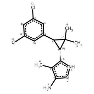 Cc1c(N)n[nH]c1[C@@H]1C(c2cc(Cl)cc(Cl)c2)C1(C)C